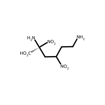 NCCC(C[C@](N)(C(=O)O)[N+](=O)[O-])[N+](=O)[O-]